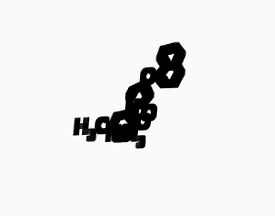 CC(C)CC(C(=O)O)n1ccc(Oc2cccc3ccccc23)cc1=O